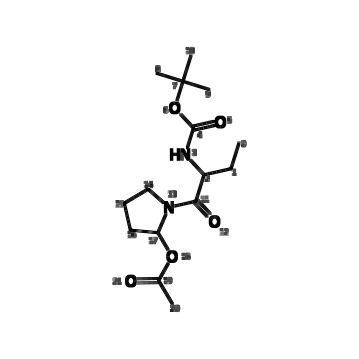 CCC(NC(=O)OC(C)(C)C)C(=O)N1CCCC1OC(C)=O